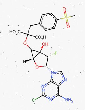 CS(=O)(=O)c1ccc(CC(OC2[C@H]3O[C@@H](n4cnc5c(N)nc(Cl)nc54)[C@@H](F)[C@@]23O)(C(=O)O)C(=O)O)cc1